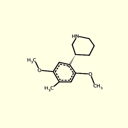 COc1cc([C@H]2CCCNC2)c(OC)cc1C